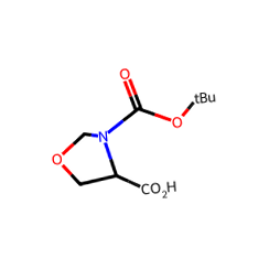 CC(C)(C)OC(=O)N1COCC1C(=O)O